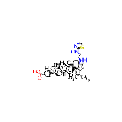 C=C(C)[C@@H]1CC[C@]2(NCCNc3nccs3)CC[C@]3(C)[C@H](CC[C@@H]4[C@@]5(C)CC=C(c6ccc(C(=O)O)cc6)C(C)(C)[C@@H]5CC[C@]43C)[C@@H]12